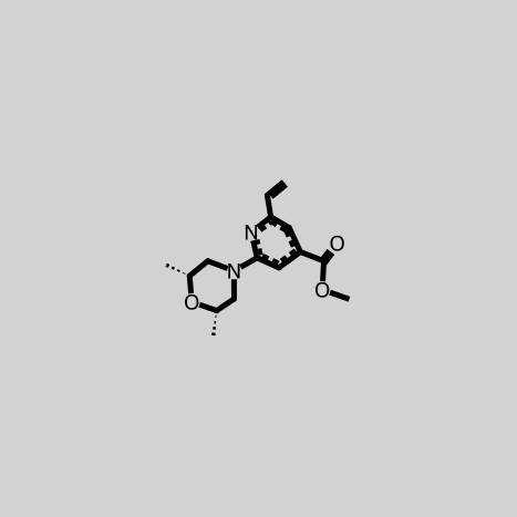 C=Cc1cc(C(=O)OC)cc(N2C[C@@H](C)O[C@@H](C)C2)n1